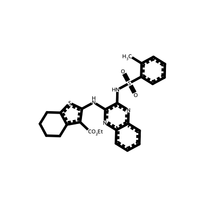 CCOC(=O)c1c(Nc2nc3ccccc3nc2NS(=O)(=O)c2ccccc2C)sc2c1CCCC2